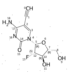 C#Cc1cn([C@@H]2O[C@H](CO)[C@@H](O)[C@@H]2F)c(=O)nc1N